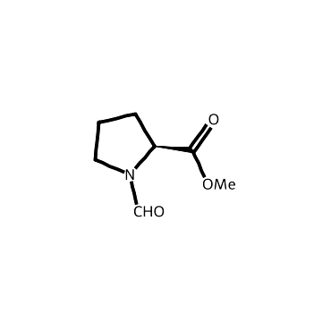 COC(=O)[C@@H]1CCCN1C=O